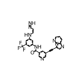 N=N/C=C\Nc1cc(NC(=O)c2cncc(C#Cc3cnc4cccnn34)c2)cc(C(F)(F)F)c1